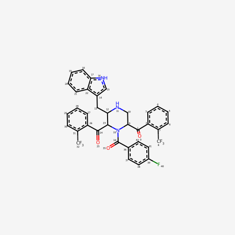 O=C(c1ccccc1C(F)(F)F)C1CNC(Cc2c[nH]c3ccccc23)C(C(=O)c2ccccc2C(F)(F)F)N1C(=O)c1ccc(F)cc1